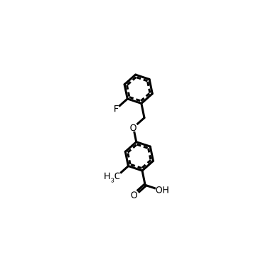 Cc1cc(OCc2ccccc2F)ccc1C(=O)O